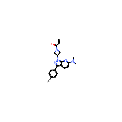 C=CC(=O)N1CC(n2nc(-c3ccc(C(F)(F)F)cc3)c3ccc(N(C)C)nc32)C1